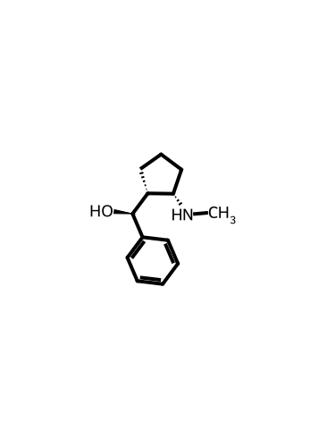 CN[C@H]1CCC[C@H]1[C@H](O)c1ccccc1